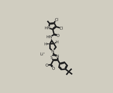 Cc1[nH]c(C(=O)N[C@@H]2[C@@H]3CN(c4nc(-c5ccc(C(C)(C)C)cc5)c(C(=O)[O-])s4)C[C@@H]32)c(Cl)c1Cl.[Li+]